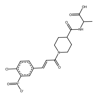 CC(NC(=O)C1CCN(C(=O)C=Cc2ccc(Cl)c([N+](=O)[O-])c2)CC1)C(=O)O